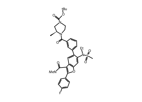 CCN(c1cc2oc(-c3ccc(F)cc3)c(C(=O)NC)c2cc1-c1cccc(C(=O)N2CCN(C(=O)OC(C)(C)C)C[C@@H]2C)c1)S(C)(=O)=O